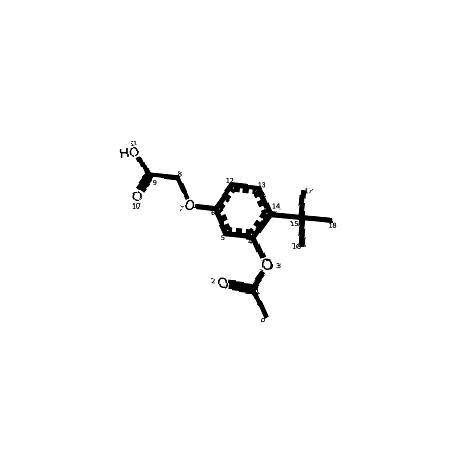 CC(=O)Oc1cc(OCC(=O)O)ccc1C(C)(C)C